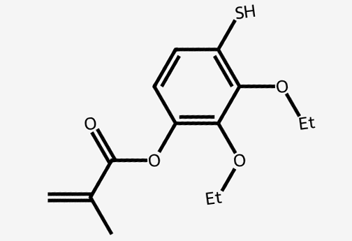 C=C(C)C(=O)Oc1ccc(S)c(OCC)c1OCC